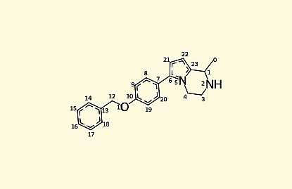 CC1NCCn2c(-c3ccc(OCc4ccccc4)cc3)ccc21